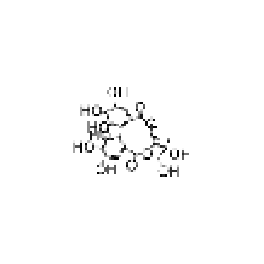 CCC(O)(CO)[C@@H]1COC(=O)c2cc(O)c(O)c(O)c2-c2c(cc(O)c(O)c2O)C(=O)O1